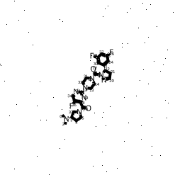 CN(C)[C@H]1CCN(C(=O)c2nc(N3CCN(C(=O)N4N=CC[C@H]4c4cc(F)cc(F)c4)CC3)ncc2F)C1